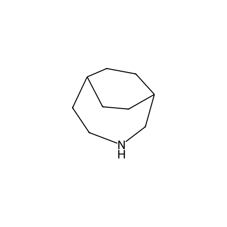 C1CC2CCC(CC2)CN1